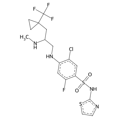 CNC(CNc1cc(F)c(S(=O)(=O)Nc2nccs2)cc1Cl)CC1(C(F)(F)F)CC1